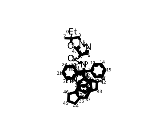 CC[C@]1(C)Cn2ncc([S@@](=O)(=NC(c3ccccc3)(c3ccccc3)c3ccccc3)NC(=O)Nc3c4c(cc5c3C[C@@H](F)C5)CCC4)c2O1